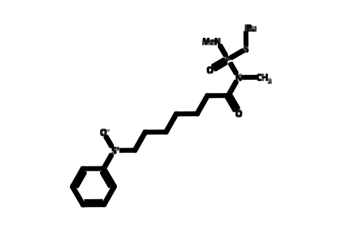 CCC(C)SP(=O)(NC)N(C)C(=O)CCCCCC[S+]([O-])c1ccccc1